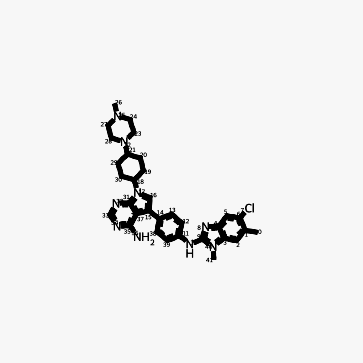 Cc1cc2c(cc1Cl)nc(Nc1ccc(-c3cn(C4CCC(N5CCN(C)CC5)CC4)c4ncnc(N)c34)cc1)n2C